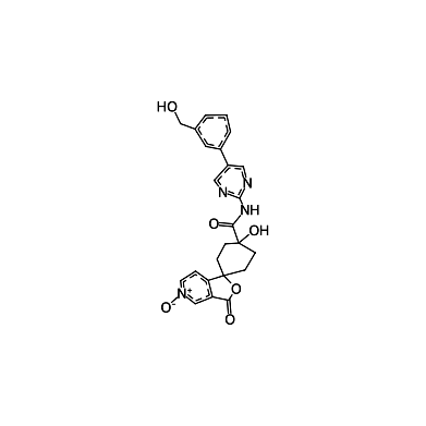 O=C1OC2(CCC(O)(C(=O)Nc3ncc(-c4cccc(CO)c4)cn3)CC2)c2cc[n+]([O-])cc21